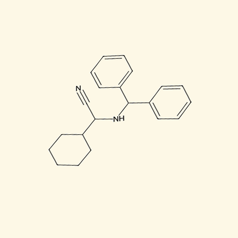 N#CC(NC(c1ccccc1)c1ccccc1)C1CCCCC1